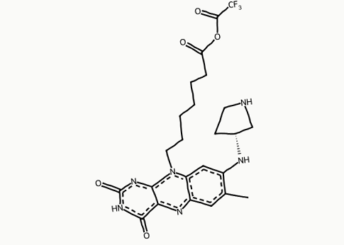 Cc1cc2nc3c(=O)[nH]c(=O)nc-3n(CCCCCCC(=O)OC(=O)C(F)(F)F)c2cc1N[C@@H]1CCNC1